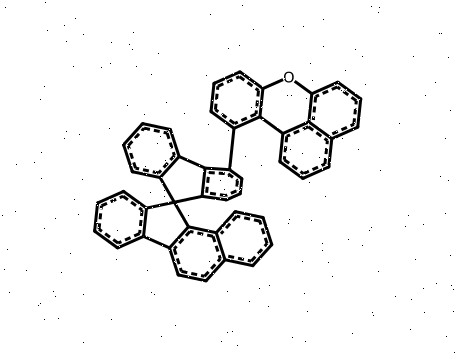 c1ccc2c(c1)-c1ccc3ccccc3c1C21c2ccccc2-c2c(-c3cccc4c3-c3cccc5cccc(c35)O4)cccc21